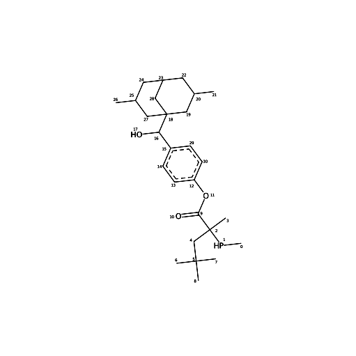 CPC(C)(CC(C)(C)C)C(=O)Oc1ccc(C(O)C23CC(C)CC(CC(C)C2)C3)cc1